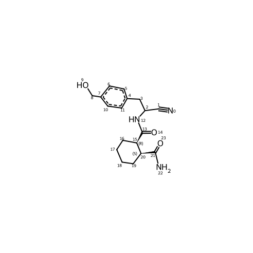 N#CC(Cc1ccc(CO)cc1)NC(=O)[C@@H]1CCCC[C@@H]1C(N)=O